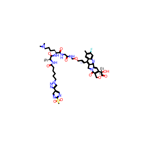 CC[C@@]1(O)C(=O)OCc2c1cc1n(c2=O)Cc2c-1nc1cc(F)c(C)cc1c2/C=C/COCNC(=O)CNC(=O)[C@H](CCCCN(C)C)NC(=O)[C@@H](NC(=O)CCCCCn1cc(-c2cnc(S(C)(=O)=O)nc2)nn1)C(C)C